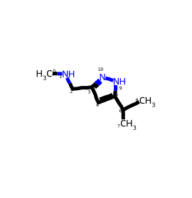 CNCc1cc(C(C)C)[nH]n1